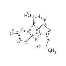 CC(=O)C=C1Sc2ccc(O)cc2N1Cc1ccc(Cl)cc1